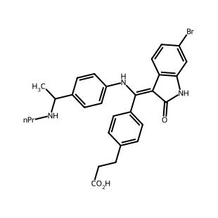 CCCNC(C)c1ccc(NC(=C2C(=O)Nc3cc(Br)ccc32)c2ccc(CCC(=O)O)cc2)cc1